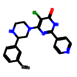 COc1cccc(C2CN(c3nc(-c4ccncc4)[nH]c(=O)c3Cl)CCN2)c1